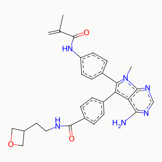 C=C(C)C(=O)Nc1ccc(-c2c(-c3ccc(C(=O)NCCC4COC4)cc3)c3c(N)ncnc3n2C)cc1